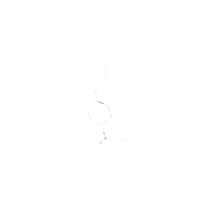 C[C@@H]1CN(CCO)CCN1C(=O)O